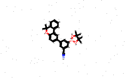 CC1(C)Oc2ccc(-c3cc(C#N)cc(B4OC(C)(C)C(C)(C)O4)c3)cc2-c2ccccc21